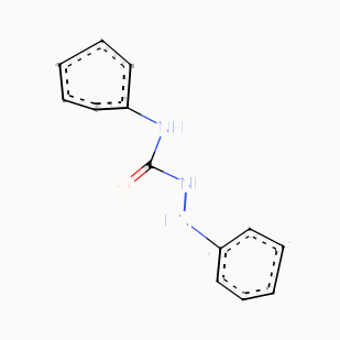 O=C(NNc1ccccc1)Nc1ccccc1